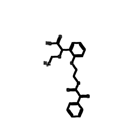 CCOC(C(=O)O)c1ccccc1OCCOC(=O)C(=O)c1ccccc1